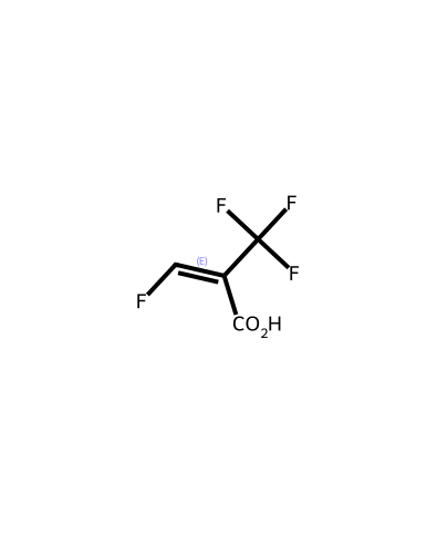 O=C(O)/C(=C\F)C(F)(F)F